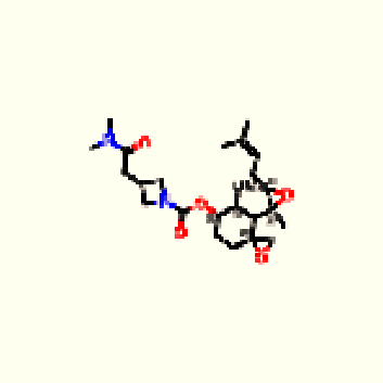 CO[C@H]1C([C@@]2(C)O[C@@H]2CC=C(C)C)[C@]2(CC[C@H]1OC(=O)N1CC(CC(=O)N(C)C)C1)CO2